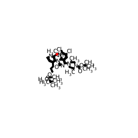 CC(C)c1nccc(CCCO[Si](C)(C)C(C)(C)C)c1-n1c(=O)nc(N2C[C@@H](C)N(C(=O)OC(C)(C)C)C[C@@H]2C)c2cc(Cl)c(Cl)nc21